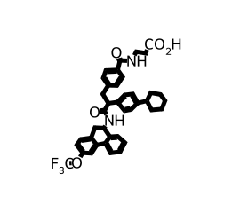 O=C(O)CCNC(=O)c1ccc(CC(C(=O)NC2Cc3ccc(OC(F)(F)F)cc3-c3ccccc32)c2ccc(C3CCCCC3)cc2)cc1